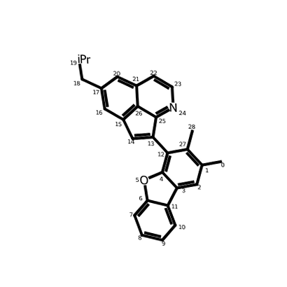 Cc1cc2c(oc3ccccc32)c(C2=Cc3cc(CC(C)C)cc4ccnc2c34)c1C